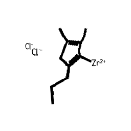 CCCC1=[C]([Zr+2])C(C)=C(C)C1.[Cl-].[Cl-]